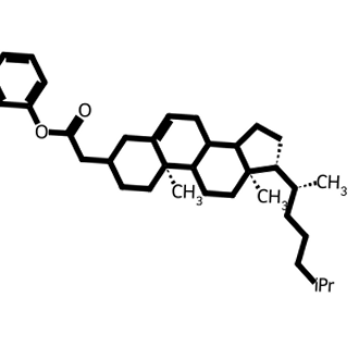 CC(C)CCC[C@@H](C)[C@H]1CCC2C3CC=C4CC(CC(=O)Oc5ccccc5)CC[C@]4(C)C3CC[C@@]21C